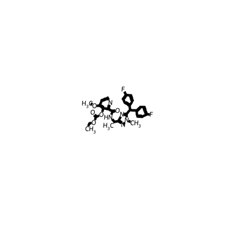 CCOC(=O)Oc1c(OC)ccnc1C(=O)N[C@@H](C)c1nc(C(c2ccc(F)cc2)c2ccc(F)cc2)n(C)n1